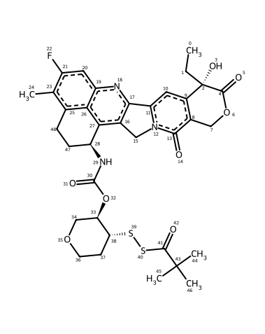 CC[C@@]1(O)C(=O)OCc2c1cc1n(c2=O)Cc2c-1nc1cc(F)c(C)c3c1c2[C@@H](NC(=O)O[C@@H]1COCC[C@H]1SSC(=O)C(C)(C)C)CC3